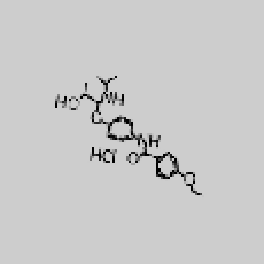 CCOc1ccc(C(=O)Nc2ccc(OC(NC(C)C)C(C)O)cc2)cc1.Cl